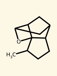 CC1CCC2C3CC4OC12C4C3